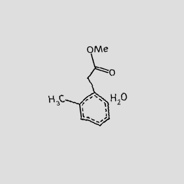 COC(=O)Cc1ccccc1C.O